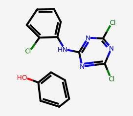 Clc1nc(Cl)nc(Nc2ccccc2Cl)n1.Oc1ccccc1